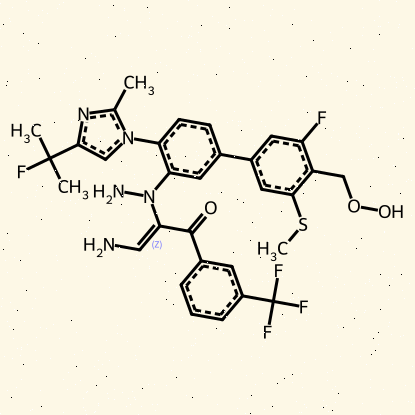 CSc1cc(-c2ccc(-n3cc(C(C)(C)F)nc3C)c(N(N)/C(=C\N)C(=O)c3cccc(C(F)(F)F)c3)c2)cc(F)c1COO